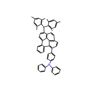 Cc1cc(C)c(B(c2c(C)cc(C)cc2C)c2ccc3c4ccccc4c4c(-c5ccc(N(c6ccccc6)c6ccccc6)cc5)ccc5ccc2c3c54)c(C)c1